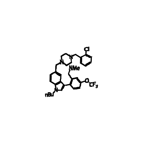 CCCCn1cc(-c2ccc(OC(F)(F)F)cc2CNC)c2cc(CN3CCN(Cc4ccccc4Cl)CC3)ccc21